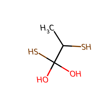 CC(S)C(O)(O)S